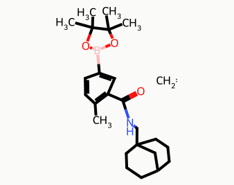 Cc1ccc(B2OC(C)(C)C(C)(C)O2)cc1C(=O)NCC12CCCC(CCC1)C2.[CH2]